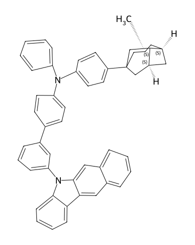 C[C@H]1C[C@H]2C[C@H]3CC(c4ccc(N(c5ccccc5)c5ccc(-c6cccc(-n7c8ccccc8c8cc9ccccc9cc87)c6)cc5)cc4)(CC23)C1